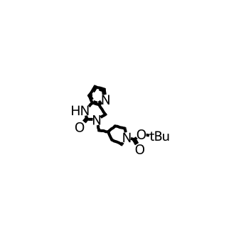 CC(C)(C)OC(=O)N1CCC(CN2Cc3ncccc3NC2=O)CC1